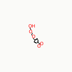 COC(=O)c1ccc(COCCOCCO)cc1